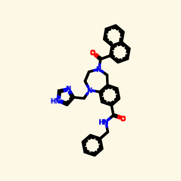 O=C(NCc1ccccc1)c1ccc2c(c1)N(Cc1c[nH]cn1)CCN(C(=O)c1cccc3ccccc13)C2